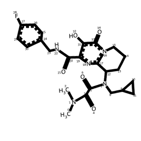 CN(C)C(=O)C(=O)N(CC1CC1)C1CCCn2c1nc(C(=O)NCc1ccc(F)cc1)c(O)c2=O